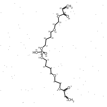 C=CC(=O)OCCOCCCCOP(=O)(O)OCCCCOCCOC(=O)C=C